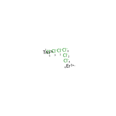 [Cl-].[Cl-].[Cl-].[Cl-].[Cl-].[Cl-].[Er+3].[Tm+3]